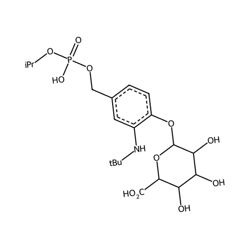 CC(C)OP(=O)(O)OCc1ccc(OC2OC(C(=O)O)C(O)C(O)C2O)c(NC(C)(C)C)c1